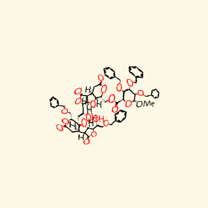 CO[C@H]1O[C@@H](C(=O)OC[C@H]2OC(=O)C[C@H]3[C@@H]2O[C@@H]2[C@H]([C@H](O)C[C@]45O[C@@H]6[C@@H]([C@H](O)COCc7ccccc7)OC(=O)[C@@H]6[C@H]4CC(=O)O[C@@H]5COCc4ccccc4)OC(=O)[C@H]32)[C@@H](OCc2ccccc2)[C@H](OCc2ccccc2)[C@H]1OCc1ccccc1